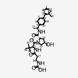 Cc1ncsc1-c1ccc([C@H](C)NC(=O)[C@@H]2C[C@@H](O)CN2C(=O)C(NC(=O)CCNC(=O)O)C(C)(C)C)cc1